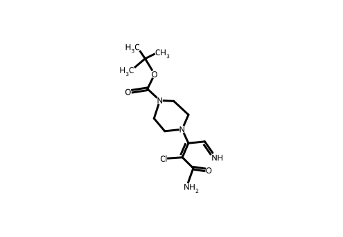 CC(C)(C)OC(=O)N1CCN(/C(C=N)=C(\Cl)C(N)=O)CC1